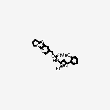 CCn1nc(-c2ccccc2OC)cc1NC(=O)OCc1ccc2c(c1)nc1n2CCC1